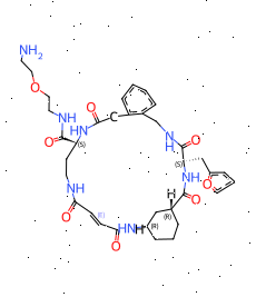 NCCOCCNC(=O)[C@@H]1CCNC(=O)/C=C/C(=O)N[C@@H]2CCC[C@H](C2)C(=O)N[C@@H](Cc2ccco2)C(=O)NCc2ccccc2CC(=O)N1